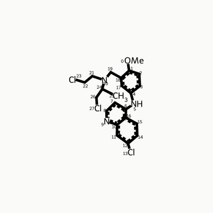 COc1ccc(Nc2ccnc3cc(Cl)ccc23)cc1CN(CCCl)C(C)CCl